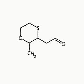 CC1OCCSC1CC=O